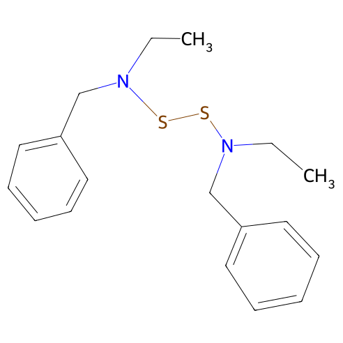 CCN(Cc1ccccc1)SSN(CC)Cc1ccccc1